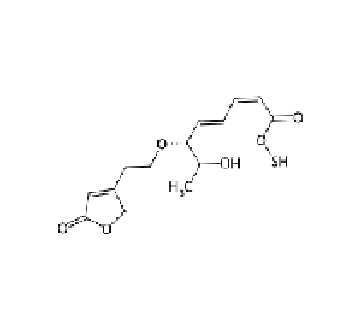 CC(O)[C@@H](/C=C/C=C\C(=O)OS)OCCC1=CC(=O)OC1